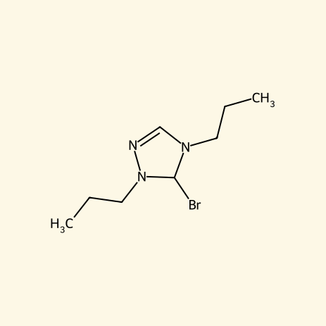 CCCN1C=NN(CCC)C1Br